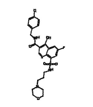 O=C(NCc1ccc(Cl)cc1)c1cnc2c(S(=O)(=O)NCCCN3CCOCC3)cc(F)cc2c1O